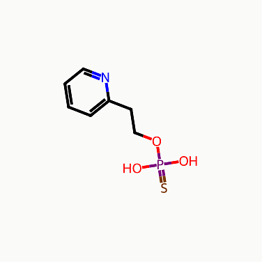 OP(O)(=S)OCCc1ccccn1